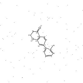 Cc1ccccc1-c1ccc2c(c1)OCCC2=O